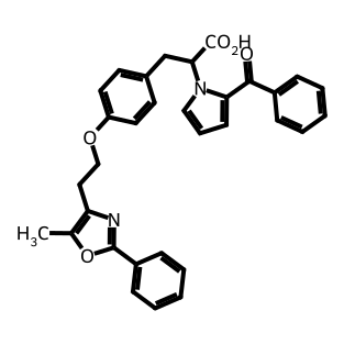 Cc1oc(-c2ccccc2)nc1CCOc1ccc(CC(C(=O)O)n2cccc2C(=O)c2ccccc2)cc1